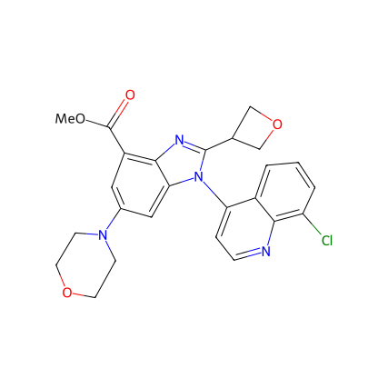 COC(=O)c1cc(N2CCOCC2)cc2c1nc(C1COC1)n2-c1ccnc2c(Cl)cccc12